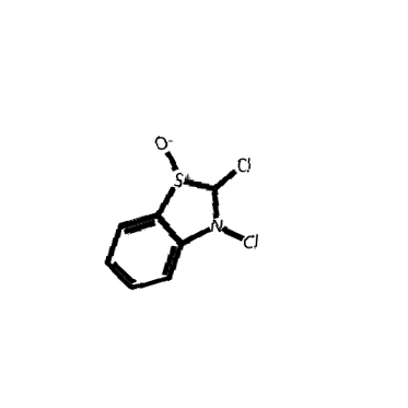 [O-][S+]1c2ccccc2N(Cl)C1Cl